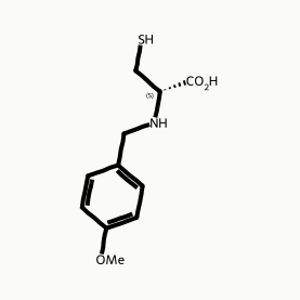 COc1ccc(CN[C@H](CS)C(=O)O)cc1